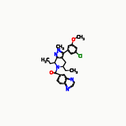 CCC1Cc2c(nn(C)c2-c2cc(Cl)cc(OC)c2)C(CC)N1C(=O)c1ccc2nccnc2c1